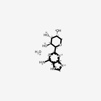 Nc1nc(C2OC[C@@H](O)[C@@H](O)[C@@H]2O)nc2nc[nH]c12.O